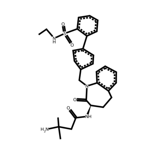 CCNS(=O)(=O)c1ccccc1-c1ccc(CN2C(=O)[C@H](NC(=O)CC(C)(C)N)CCc3ccccc32)cc1